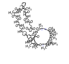 CO[C@H]1/C=C/O[C@@]2(C)Oc3c(C)c(O)c4c(=O)c(c5oc6cc(N7CCC(NC(=O)CNC(=O)CNC(=O)CNC(=O)[C@H](C)NC(=O)[C@H](Cc8ccccc8)NC(=O)[C@H](C)NC(=O)CNC(=O)CNC(=O)CCN8C(=O)C=CC8=O)CC7)cc(O)c6nc-5c4c3C2=O)NC(=O)/C(C)=C\C=C\[C@H](C)[C@H](O)[C@@H](C)[C@@H](O)[C@@H](C)[C@H](OC(C)=O)[C@@H]1C